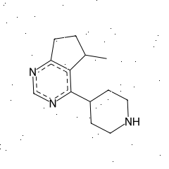 CC1CCc2ncnc(C3CCNCC3)c21